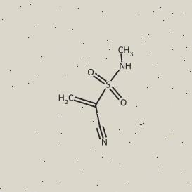 C=C(C#N)S(=O)(=O)NC